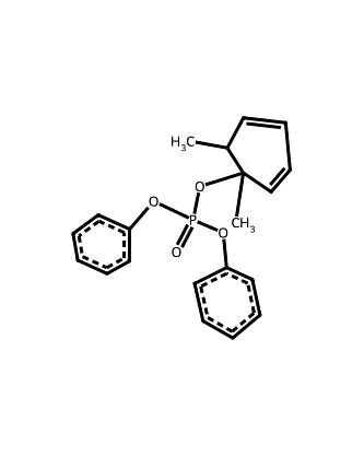 CC1C=CC=CC1(C)OP(=O)(Oc1ccccc1)Oc1ccccc1